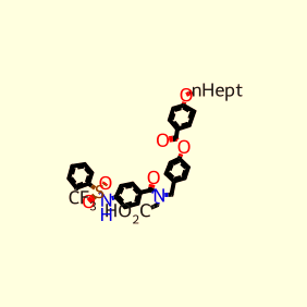 CCCCCCCOc1ccc(C(=O)Oc2ccc(CN(CC(=O)O)C(=O)c3ccc(NS(=O)(=O)c4ccccc4C(F)(F)F)cc3)cc2)cc1